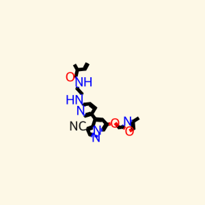 C=CC(C)C(=O)NCCNc1ccc(-c2cc(OCc3nc(C)co3)cn3ncc(C#N)c23)cn1